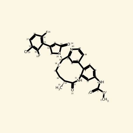 COC(=O)Nc1ccc2c(c1)NC(=O)[C@H](C)CCC[C@H](N1CC(c3c(F)ccc(Cl)c3F)=CC1=O)c1cc-2ccn1